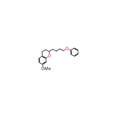 COc1ccc2c(c1)OC(C[CH]CCOc1ccccc1)CC2